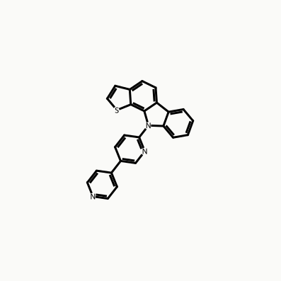 c1ccc2c(c1)c1ccc3ccsc3c1n2-c1ccc(-c2ccncc2)cn1